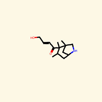 CC1CC2CC(C)(CN2)C1(C)C(=O)/C=C/CO